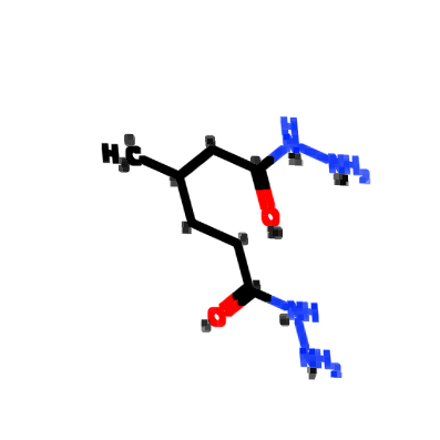 CC(CCC(=O)NN)CC(=O)NN